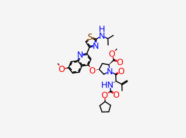 C=C(C)[C@H](NC(=O)OC1CCCC1)C(=O)N1C[C@H](Oc2cc(-c3csc(NC(C)C)n3)nc3cc(OC)ccc23)C[C@H]1C(=O)OC